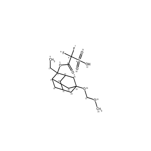 CCC1(OC(=O)C(F)(F)S(=O)(=O)O)C2CC3CC1CC(OCOC)(C3)C2